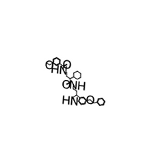 COc1cccc(C(=O)NCCC(C(=O)NCCC2CNc3ccc(OCc4ccccc4)cc32)C2CCCCC2)c1